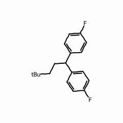 CC(C)(C)CCC(c1ccc(F)cc1)c1ccc(F)cc1